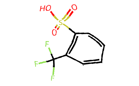 O=S(=O)(O)c1ccc[c]c1C(F)(F)F